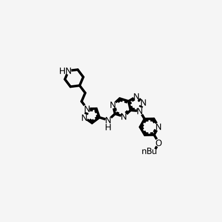 CCCCOc1ccc(-n2nnc3cnc(Nc4cnn(CCC5CCNCC5)c4)nc32)cn1